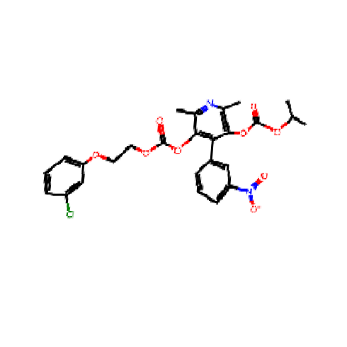 Cc1nc(C)c(OC(=O)OC(C)C)c(-c2cccc([N+](=O)[O-])c2)c1OC(=O)OCCOc1cccc(Cl)c1